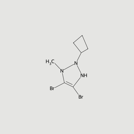 CN1C(Br)=C(Br)NN1C1CCC1